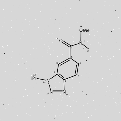 CON(C)C(=O)c1ccc2nnn(C(C)C)c2c1